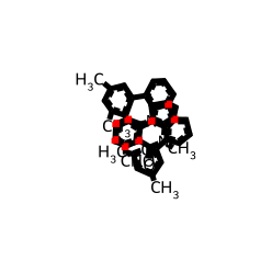 Cc1cc(C)cc(-c2cccc3c4cccc(-c5cc(C)cc(C)c5)c4n(-c4cccc(C=O)c4C(=O)N(C)c4ccccc4-c4ccccc4)c23)c1